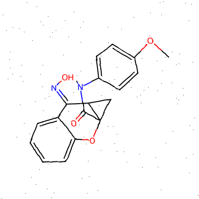 COc1ccc(N(C)C(=O)C23CC2C(=NO)c2ccccc2O3)cc1